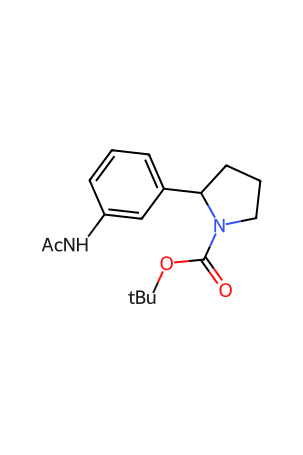 CC(=O)Nc1cccc(C2CCCN2C(=O)OC(C)(C)C)c1